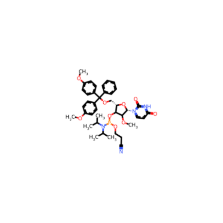 COc1ccc(C(OC[C@@H]2O[C@H](n3ccc(=O)[nH]c3=O)C(OC)C2OP(OCCC#N)N(C(C)C)C(C)C)(c2ccccc2)c2ccc(OC)cc2)cc1